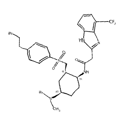 CC(C)CCc1ccc(S(=O)(=O)C[C@@H]2C[C@H](N(C)C(C)C)CC[C@@H]2NC(=O)Cc2nc3c(C(F)(F)F)cccc3[nH]2)cc1